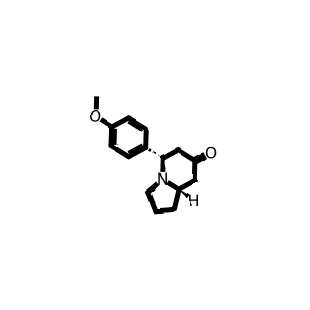 COc1ccc([C@@H]2CC(=O)C[C@@H]3CCCN32)cc1